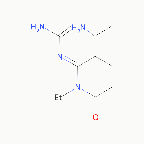 C=C(N)/N=C1\C(=C(\C)N)C=CC(=O)N1CC